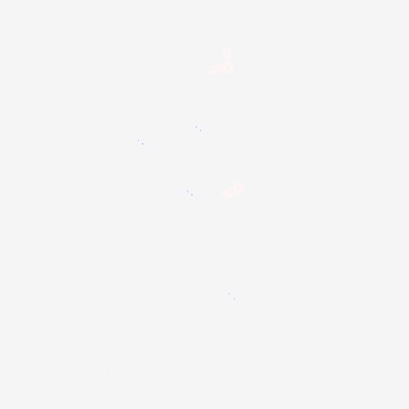 O=C(Nc1ncc(-c2ccco2)[nH]1)c1cc(-c2ccc(Cl)cc2)nc2ccccc12